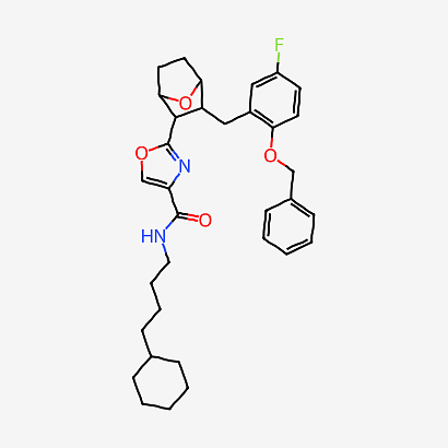 O=C(NCCCCC1CCCCC1)c1coc(C2C3CCC(O3)C2Cc2cc(F)ccc2OCc2ccccc2)n1